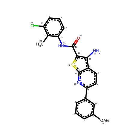 COc1cccc(-c2ccc3c(N)c(C(=O)Nc4cccc(Cl)c4C)sc3n2)c1